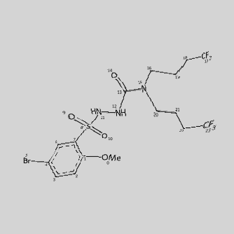 COc1ccc(Br)cc1S(=O)(=O)NNC(=O)N(CCCC(F)(F)F)CCCC(F)(F)F